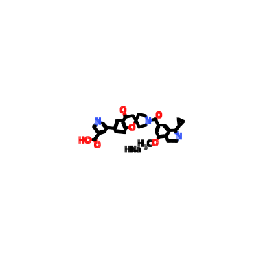 COc1cc(C(=O)N2CCC3(CC2)CC(=O)c2cc(-c4cncc(C(=O)O)c4)ccc2O3)cc2c(C3CC3)nccc12.[NaH]